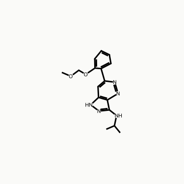 COCOc1ccccc1-c1cc2[nH]nc(NC(C)C)c2nn1